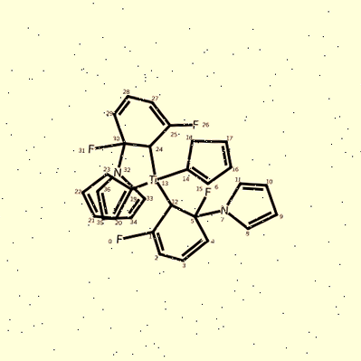 FC1=CC=CC(F)(n2cccc2)[CH]1[Ti]([C]1=CC=CC1)([C]1=CC=CC1)[CH]1C(F)=CC=CC1(F)n1cccc1